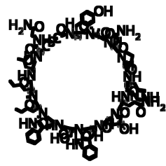 CCCC[C@H]1C(=O)N(C)[C@@H](CCCC)C(=O)N[C@@H](CC(C)C)C(=O)N[C@H](C(=O)NCC(N)=O)CSCC(=O)N[C@@H](Cc2ccc(O)cc2)C(=O)N(C)[C@@H](C)C(=O)N[C@@H](CC(N)=O)C(=O)N2CCC[C@H]2C(=O)N[C@@H](Cc2c[nH]cn2)C(=O)N[C@@H](CCC(N)=O)C(=O)N2C[C@H](O)C[C@H]2C(=O)N[C@@H](Cc2c[nH]c3ccccc23)C(=O)N[C@@H](CO)C(=O)N[C@@H](Cc2c[nH]c3ccccc23)C(=O)N1C